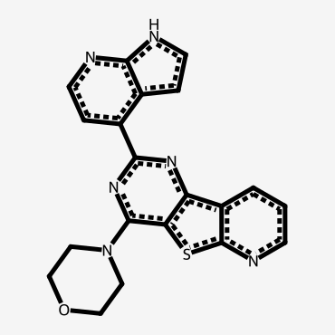 c1cnc2sc3c(N4CCOCC4)nc(-c4ccnc5[nH]ccc45)nc3c2c1